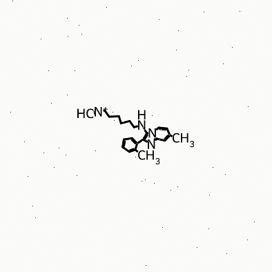 C#[N+]CCCCCCNc1c(-c2ccccc2C)nc2cc(C)ccn12